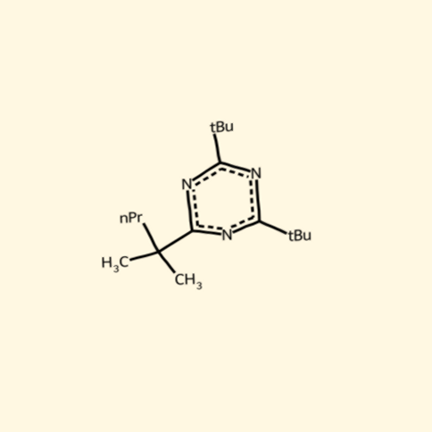 CCCC(C)(C)c1nc(C(C)(C)C)nc(C(C)(C)C)n1